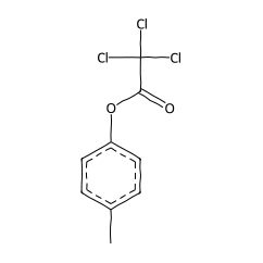 Cc1ccc(OC(=O)C(Cl)(Cl)Cl)cc1